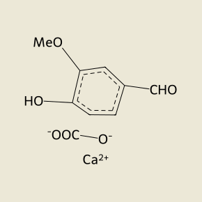 COc1cc(C=O)ccc1O.O=C([O-])[O-].[Ca+2]